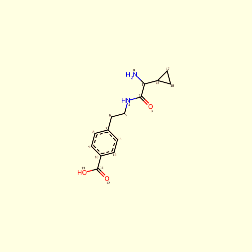 NC(C(=O)NCCc1ccc(C(=O)O)cc1)C1CC1